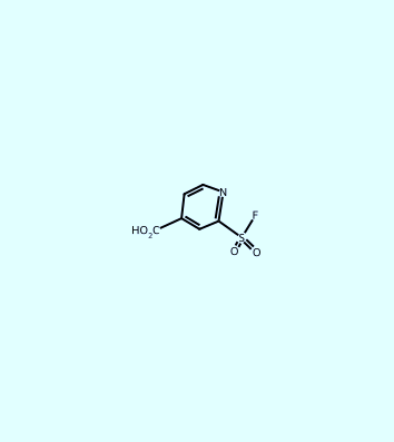 O=C(O)c1ccnc(S(=O)(=O)F)c1